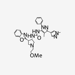 COCCN1C[C@@H](NC(=O)Nc2c(C)c(-c3cnn(C)c3)nn2-c2ccccc2)[C@H](c2nc3ccccc3o2)C1